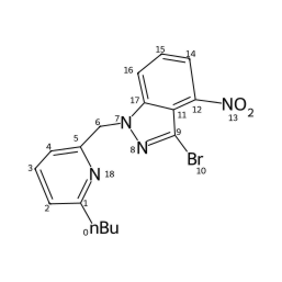 CCCCc1cccc(Cn2nc(Br)c3c([N+](=O)[O-])cccc32)n1